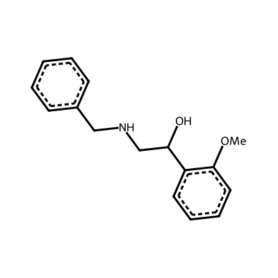 COc1ccccc1C(O)CNCc1ccccc1